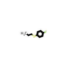 C[CH]CSc1ccc(F)cc1